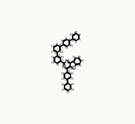 c1ccc(-c2ccc(-c3cccc(-c4cccc(-c5nc(-c6ccc(-c7ccccc7)cc6)c6oc7ccccc7c6n5)c4)c3)cc2)cc1